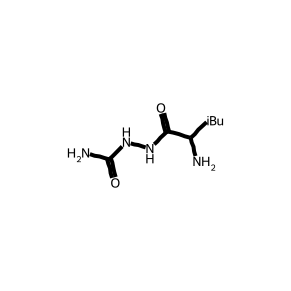 CCC(C)C(N)C(=O)NNC(N)=O